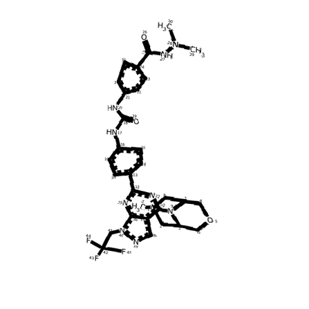 CN1CC2COCC(C1)N2c1nc(-c2ccc(NC(=O)Nc3ccc(C(=O)NN(C)C)cc3)cc2)nc2c1cnn2CC(F)(F)F